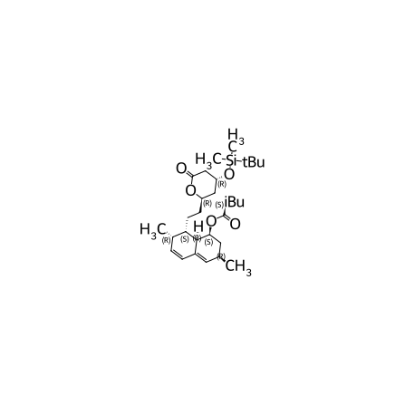 CC[C@H](C)C(=O)O[C@H]1C[C@@H](C)C=C2C=C[C@H](C)[C@H](CC[C@@H]3C[C@@H](O[Si](C)(C)C(C)(C)C)CC(=O)O3)[C@H]21